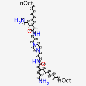 CCCCCCCCC=CCCCCCC(CCCN)CC(=O)NCCCN1CCN(CCCNC(=O)CC(CCCN)CCCCCC=CCCCCCCCC)CC1